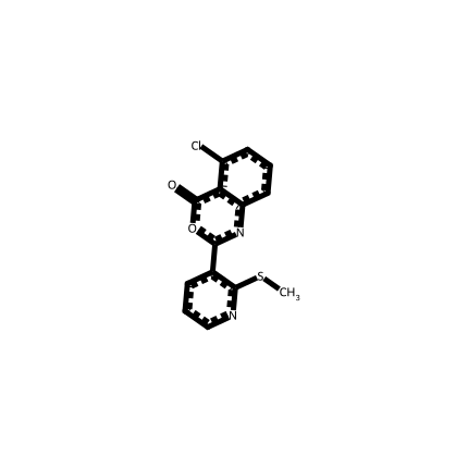 CSc1ncccc1-c1nc2cccc(Cl)c2c(=O)o1